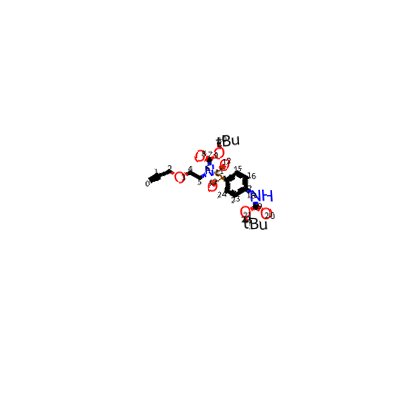 C#CCOCCN(C(=O)OC(C)(C)C)S(=O)(=O)c1ccc(NC(=O)OC(C)(C)C)cc1